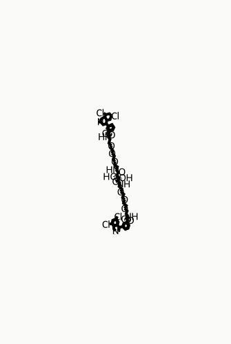 CN1Cc2c(Cl)cc(Cl)cc2C(c2cccc(S(=O)(=O)NCCOCCOCCOCCNC(=O)[C@@H](O)[C@H](O)C(=O)NCCOCCOCCOCCNS(=O)(=O)c3cccc(C4CN(C)CC5C(Cl)CC(Cl)CC45)c3)c2)C1